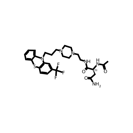 CC(=O)N[C@@H](CC(N)=O)C(=O)NCCN1CCN(CCCN2c3ccccc3Sc3ccc(C(F)(F)F)cc32)CC1